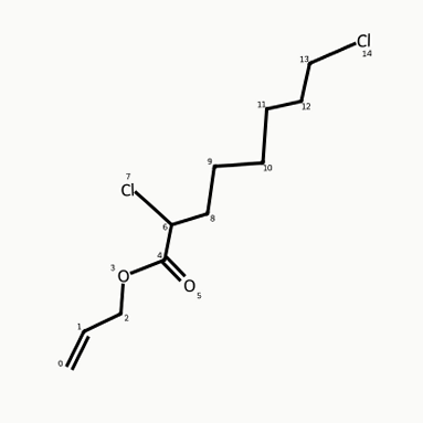 C=CCOC(=O)C(Cl)CCCCCCCl